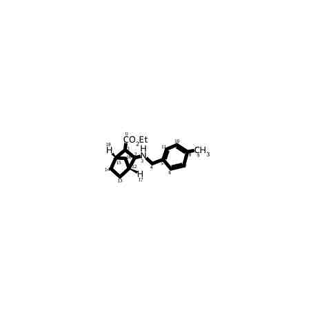 CCOC(=O)C1C(NCc2ccc(C)cc2)[C@@H]2CC[C@H]1C2